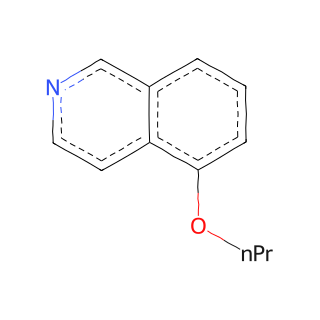 [CH2]CCOc1cccc2cnccc12